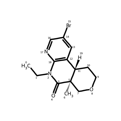 CCN1C(=O)[C@]2(C)COCC[C@H]2c2cc(Br)cnc21